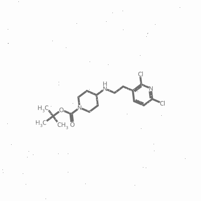 CC(C)(C)OC(=O)N1CCC(NCCc2ccc(Cl)nc2Cl)CC1